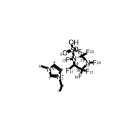 CC[n+]1ccn(C)c1.O=S(=O)(O)[N+]1(F)C(F)C(F)(F)N(F)C1(F)F